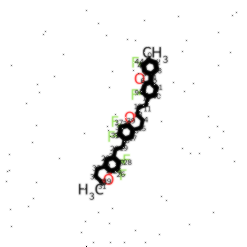 Cc1ccc2c(oc3c(F)c(CCC4CCc5cc(CCc6cc7c(c(F)c6F)OC(C)CC7)c(F)c(F)c5O4)ccc32)c1F